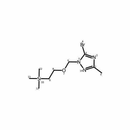 Cc1nc(Br)n(COCC[Si](C)(C)C)n1